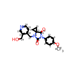 O=C1N(c2ccc(OC(F)(F)F)cc2)C(=O)C2(CC2)N1Cc1ccncc1CO